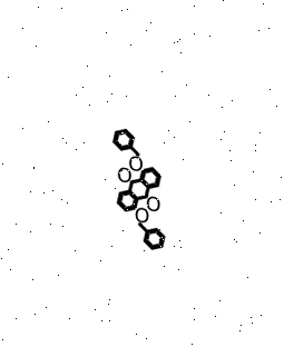 O=C1c2cccc(OCc3ccccc3)c2C(=O)c2cccc(OCc3ccccc3)c21